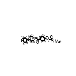 CNC(=O)COc1ccc(C(=O)CN2CCN(c3ccncc3)CC2)cc1